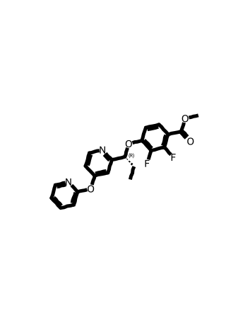 CC[C@@H](Oc1ccc(C(=O)OC)c(F)c1F)c1cc(Oc2ccccn2)ccn1